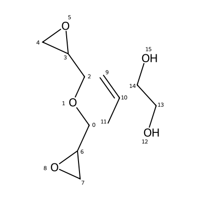 C(OCC1CO1)C1CO1.C=CC.OCCO